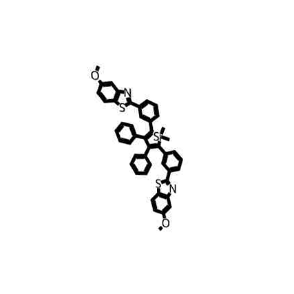 COc1ccc2sc(-c3cccc(C4=C(c5ccccc5)C(c5ccccc5)=C(c5cccc(-c6nc7cc(OC)ccc7s6)c5)[Si]4(C)C)c3)nc2c1